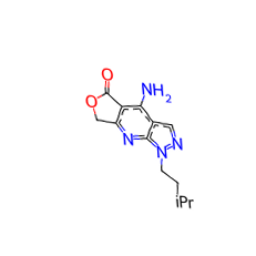 CC(C)CCn1ncc2c(N)c3c(nc21)COC3=O